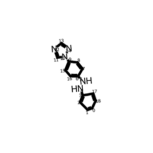 c1ccc(NNc2ccc(-n3cncn3)cc2)cc1